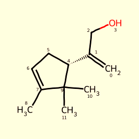 C=C(CO)[C@H]1CC=C(C)C1(C)C